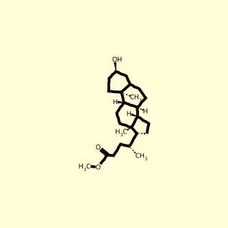 COC(=O)CC[C@@H](C)[C@H]1CC[C@H]2[C@@H]3CCC4C[C@H](O)CC[C@]4(C)[C@H]3CC[C@]12C